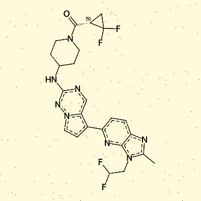 Cc1nc2ccc(-c3ccn4nc(NC5CCN(C(=O)[C@@H]6CC6(F)F)CC5)ncc34)nc2n1CC(F)F